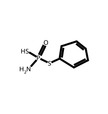 NP(=O)(S)Sc1ccccc1